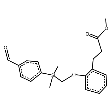 COC(=O)CCc1ccccc1OC[Si](C)(C)c1ccc(C=O)cc1